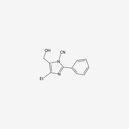 CCc1nc(-c2ccccc2)n(C#N)c1CO